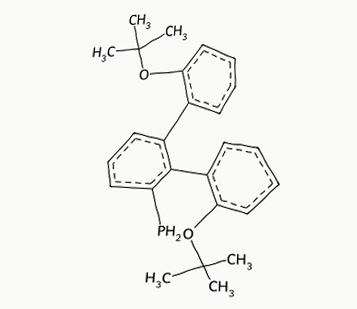 CC(C)(C)Oc1ccccc1-c1cccc(P)c1-c1ccccc1OC(C)(C)C